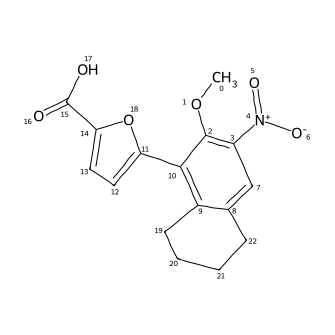 COc1c([N+](=O)[O-])cc2c(c1-c1ccc(C(=O)O)o1)CCCC2